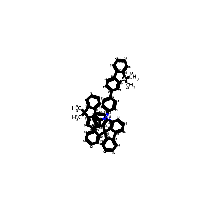 CC1(C)c2ccccc2-c2c(N(c3ccc(-c4ccc5c(c4)[Si](C)(C)c4ccccc4-5)cc3)c3cccc4c3C3(c5ccccc5-c5ccccc53)c3ccccc3-4)cccc21